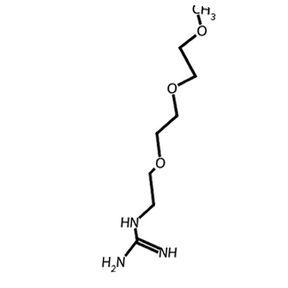 COCCOCCOCCNC(=N)N